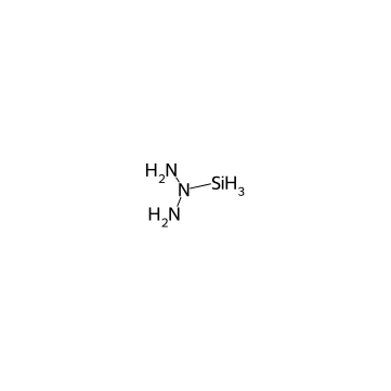 NN(N)[SiH3]